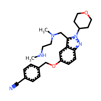 CNCCN(C)Cc1c2cc(OCc3ccc(C#N)cc3)ccc2nn1C1CCOCC1